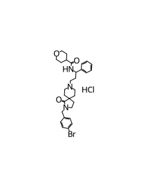 Cl.O=C(NC(CCN1CCC2(CC1)CCN(Cc1ccc(Br)cc1)C2=O)c1ccccc1)C1CCOCC1